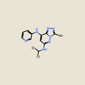 CCC(CC)Nc1cc(Nc2cccnc2)c2nnc(C(C)C)n2n1